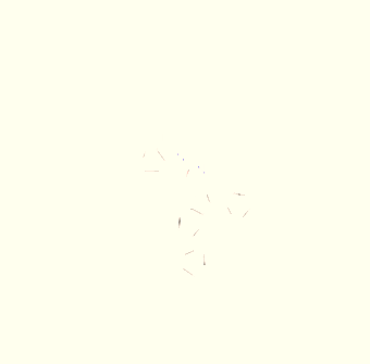 CCCCCCCN(Cc1oc2ccc(-c3ccccc3)cc2c1-c1ccccc1)C(=O)Nc1c(F)cc(F)cc1F